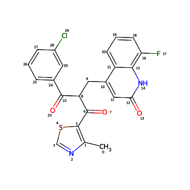 Cc1ncsc1C(=O)C(Cc1cc(=O)[nH]c2c(F)cccc12)C(=O)c1cccc(Cl)c1